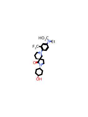 CCN(C(=O)O)c1ccc(N2CCC[C@]3(CCN([C@H]4CC[C@H](O)CC4)C3=O)C2)c(C(F)(F)F)c1